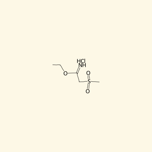 CCOC(=N)CS(C)(=O)=O.Cl